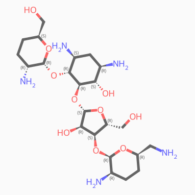 NC[C@H]1CC[C@@H](N)[C@@H](O[C@H]2[C@@H](O)[C@H](O[C@@H]3[C@@H](O)[C@H](N)C[C@H](N)[C@H]3O[C@H]3O[C@H](CO)CC[C@H]3N)O[C@@H]2CO)O1